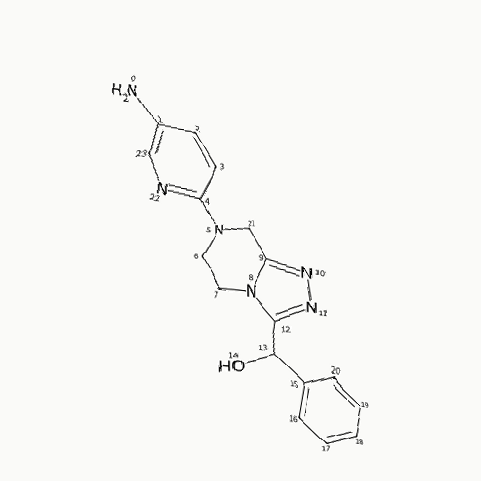 Nc1ccc(N2CCn3c(nnc3C(O)c3ccccc3)C2)nc1